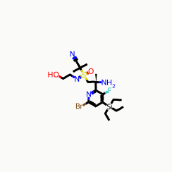 CC[Si](CC)(CC)c1cc(Br)nc([C@@](C)(N)CS(=O)(=NCCO)C(C)(C)C#N)c1F